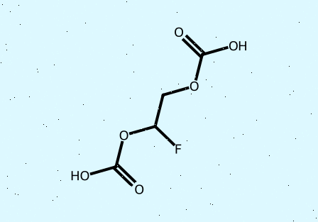 O=C(O)OCC(F)OC(=O)O